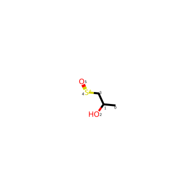 CC(O)C[S+]=O